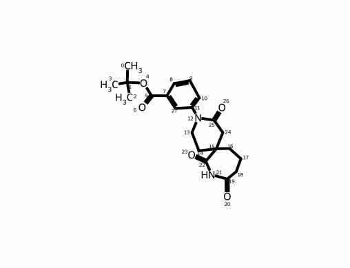 CC(C)(C)OC(=O)c1cccc(N2CCC3(CCCC(=O)NC3=O)CC2=O)c1